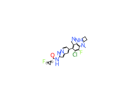 CN(c1c(F)c(Cl)c(-c2ccn3nc(NC(=O)[C@@H]4C[C@@H]4F)cc3c2)c2cn[nH]c12)C1CCC1